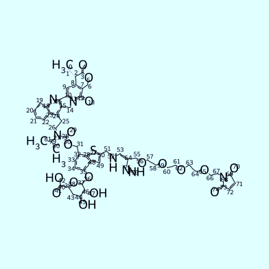 CC[C@@H]1C(=O)OCc2c1cc1n(c2=O)Cc2c-1nc1ccccc1c2CCN(C(=O)OCc1ccc(O[C@@H]2O[C@H](C(=O)O)C[C@H](O)[C@H]2O)c2cc(CN/C=C(/COCCOCCOCCOCCN3C(=O)C=CC3=O)N=N)sc12)C(C)C